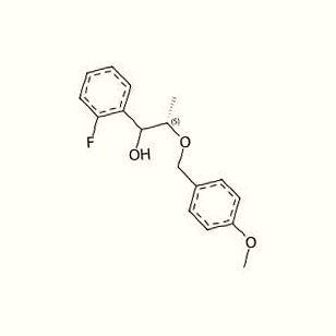 COc1ccc(CO[C@@H](C)C(O)c2ccccc2F)cc1